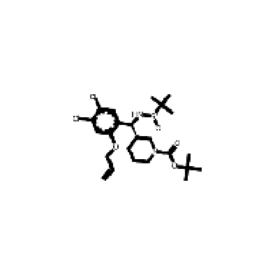 C=CCOc1cc(Cl)c(Cl)cc1C(N[S+]([O-])C(C)(C)C)[C@@H]1CCCN(C(=O)OC(C)(C)C)C1